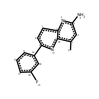 Cc1cc(N)nc2ccc(-c3cccc(F)c3)nc12